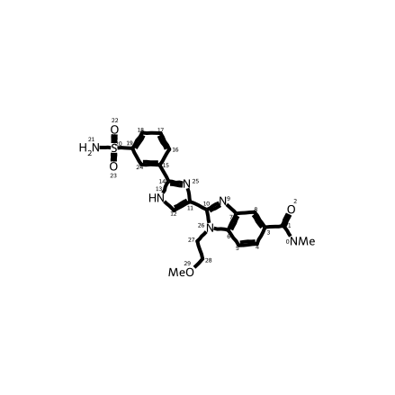 CNC(=O)c1ccc2c(c1)nc(-c1c[nH]c(-c3cccc(S(N)(=O)=O)c3)n1)n2CCOC